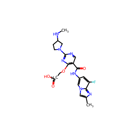 CCOc1nc(N2CCC(NC)C2)ncc1C(=O)Nc1cc(F)c2nc(C)cn2c1.O=CO